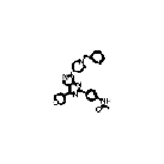 CC(=O)Nc1ccc(-c2nc(C3=CCOCC3)c3cnn(C4CCN(Cc5ccccc5)CC4)c3n2)cc1